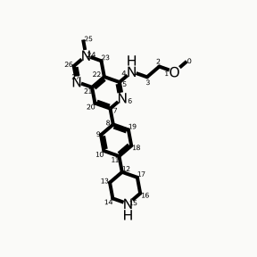 COCCNc1nc(-c2ccc(C3CCNCC3)cc2)cc2c1CN(C)C=N2